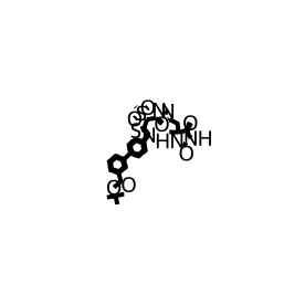 CC(C)(C)OC(=O)c1cccc(-c2ccc3nc(C(c4nnc(CC5(C)NC(=O)NC5=O)o4)S(C)(=O)=O)sc3c2)c1